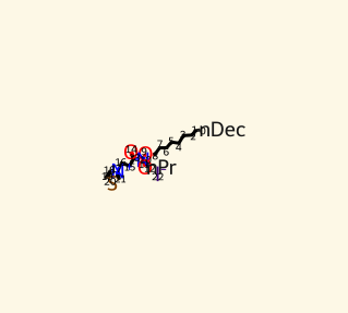 CCCCCCCCCCCCCCCCCCON(OCCC)C(=O)CC[n+]1ccsc1.[I-]